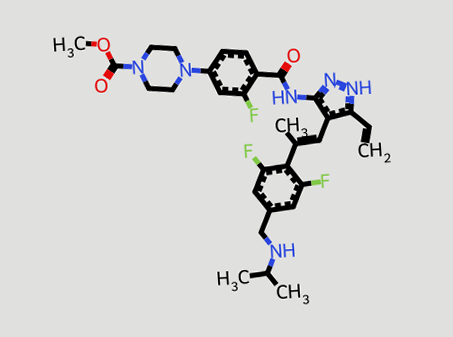 C=Cc1[nH]nc(NC(=O)c2ccc(N3CCN(C(=O)OC)CC3)cc2F)c1/C=C(\C)c1c(F)cc(CNC(C)C)cc1F